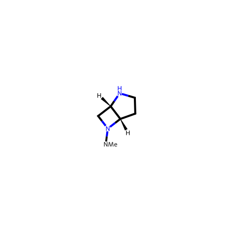 CNN1C[C@@H]2NCC[C@@H]21